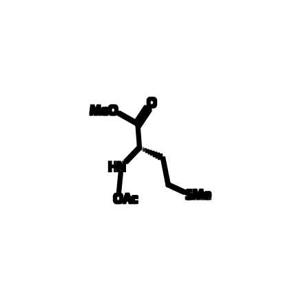 COC(=O)[C@H](CCSC)NOC(C)=O